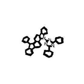 c1ccc(-c2nc(-c3ccccc3)nc(-n3c4ccccc4c4ccc5c6c(ccc5c43)-c3ccccc3C6c3ccccc3)n2)cc1